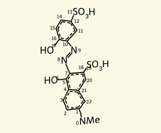 CNc1ccc2c(O)c(N=Nc3cc(S(=O)(=O)O)ccc3O)c(S(=O)(=O)O)cc2c1